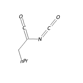 CCCCC(=C=O)N=C=O